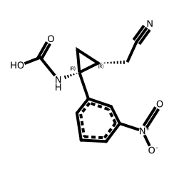 N#CC[C@H]1C[C@]1(NC(=O)O)c1cccc([N+](=O)[O-])c1